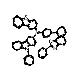 c1ccc(-c2nc3ccc4cccc(-c5ccc(N(c6ccc7sc8ccccc8c7c6)c6ccc7c(c6)c6ccccc6n7-c6ccccc6)cc5)c4c3o2)cc1